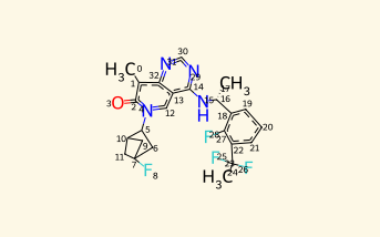 Cc1c(=O)n(C2CC3(F)CC2C3)cc2c(N[C@H](C)c3cccc(C(C)(F)F)c3F)ncnc12